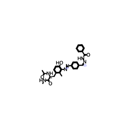 CNC(=O)[C@H](Cc1ccc(O)c(/N=N/c2ccc(/C=N\NC(=O)c3ccccc3)cc2)c1C)NC(C)=O